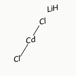 [Cl][Cd][Cl].[LiH]